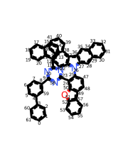 c1ccc(-c2cccc(-c3nc(-c4cccc5ccccc45)nc(-c4c(-n5c6cc7ccccc7cc6c6c7ccccc7ccc65)ccc5c4oc4ccccc45)n3)c2)cc1